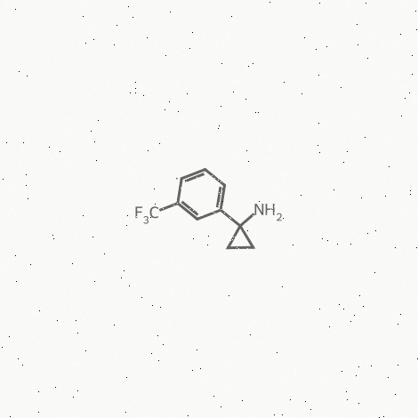 NC1(c2cc[c]c(C(F)(F)F)c2)CC1